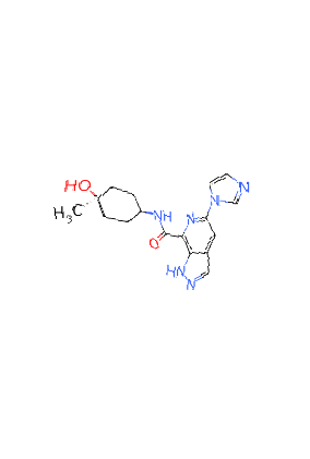 C[C@]1(O)CC[C@@H](NC(=O)c2nc(-n3ccnc3)cc3cn[nH]c23)CC1